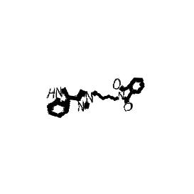 O=C1c2ccccc2C(=O)N1CCCCn1cnc(-c2c[nH]c3ccccc23)c1